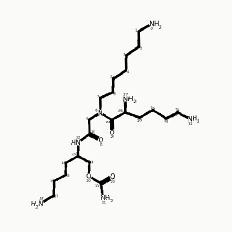 NCCCCCCCN(CC(=O)NC(CCCCN)COC(N)=O)C(=O)C(N)CCCCN